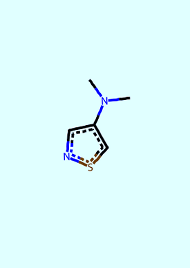 CN(C)c1cnsc1